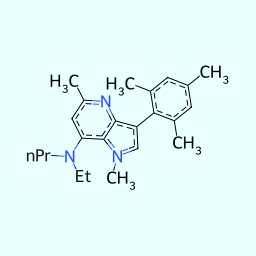 CCCN(CC)c1cc(C)nc2c(-c3c(C)cc(C)cc3C)cn(C)c12